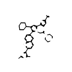 Cc1nc(C)c(-c2ccc3cc(-c4c(C5CCCCC5)cc(-c5ccc(C(=O)O)o5)n4CC(=O)N4CCOCC4)ccc3n2)s1